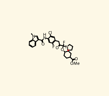 COC(=O)C1CCC(OC(F)(C(=O)Cc2cc(Cl)c(NC(=O)c3cn(C)c4ccccc34)cc2F)N2CCCC2)CC1